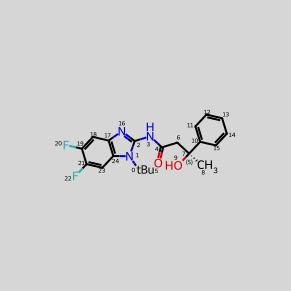 CC(C)(C)n1c(NC(=O)C[C@](C)(O)c2ccccc2)nc2cc(F)c(F)cc21